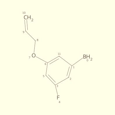 Bc1cc(F)cc(OCC=C)c1